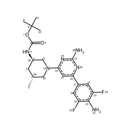 C[C@@H]1C[C@@H](NC(=O)OC(C)(C)C)CN(c2cc(-c3cc(F)c(N)c(F)c3)nc(N)n2)C1